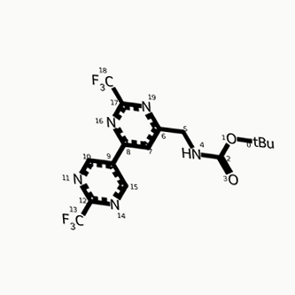 CC(C)(C)OC(=O)NCc1cc(-c2cnc(C(F)(F)F)nc2)nc(C(F)(F)F)n1